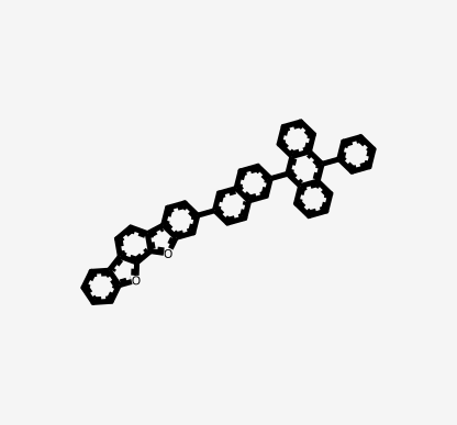 c1ccc(-c2c3ccccc3c(-c3ccc4cc(-c5ccc6c(c5)oc5c6ccc6c7ccccc7oc65)ccc4c3)c3ccccc23)cc1